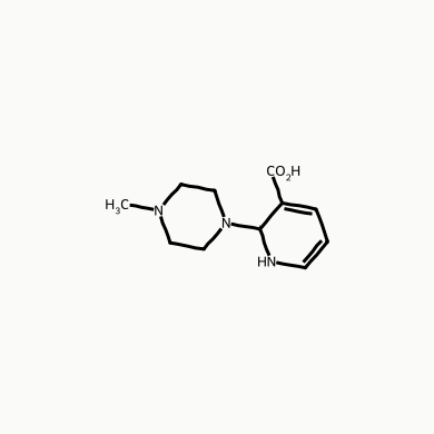 CN1CCN([C]2NC=CC=C2C(=O)O)CC1